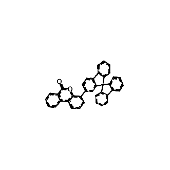 O=c1oc2c(-c3ccc4c(c3)C3(c5ccccc5-c5ccccc53)c3ccccc3-4)cccc2c2ccccc12